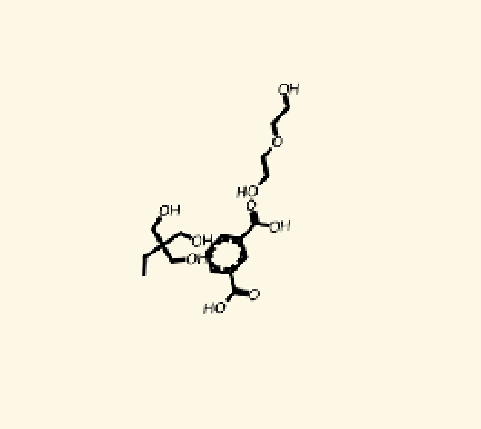 CCC(CO)(CO)CO.O=C(O)c1cccc(C(=O)O)c1.OCCOCCO